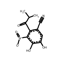 CC(C)C(=O)c1c(C#N)cc(O)c(O)c1[N+](=O)[O-]